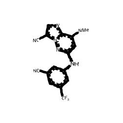 CNc1cc(Nc2cc(C#N)cc(C(F)(F)F)c2)nn2c(C#N)cnc12